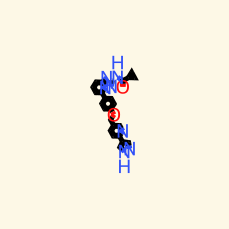 O=C(Nc1nc2cccc(-c3ccc(OCc4ccc(-c5cn[nH]c5)nc4)cc3)n2n1)C1CC1